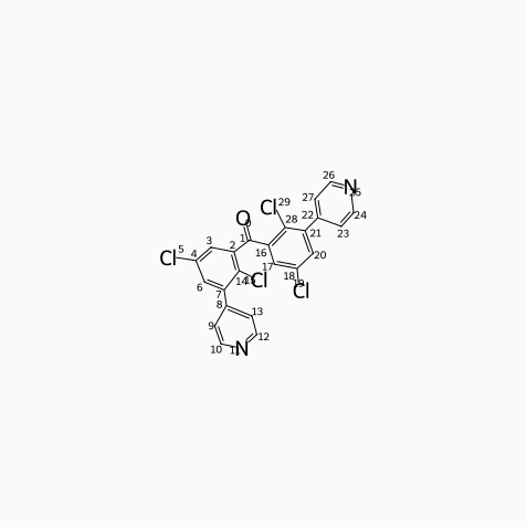 O=C(c1cc(Cl)cc(-c2ccncc2)c1Cl)c1cc(Cl)cc(-c2ccncc2)c1Cl